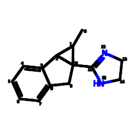 CC1C2c3ccccc3CC12C1=NCCN1